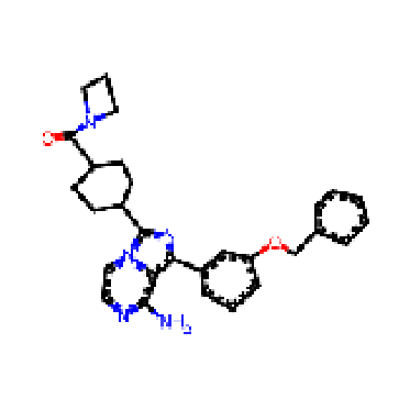 Nc1nccn2c(C3CCC(C(=O)N4CCC4)CC3)nc(-c3cccc(OCc4ccccc4)c3)c12